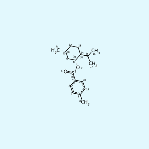 Cc1ccc([S@](=O)O[C@@H]2C[C@H](C)CC[C@H]2C(C)C)cc1